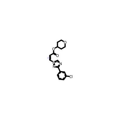 O=C(/C=C\n1cnc(-c2cccc(Cl)c2)n1)OC1CCOCC1